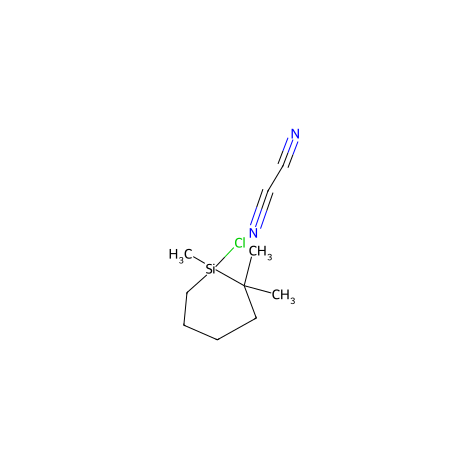 CC1(C)CCCC[Si]1(C)Cl.N#CC#N